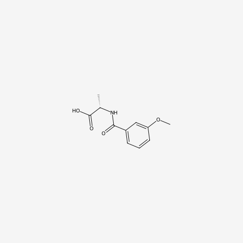 COc1cccc(C(=O)N[C@@H](C)C(=O)O)c1